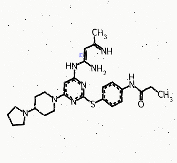 CCC(=O)Nc1ccc(Sc2nc(N/C(N)=C/C(C)=N)cc(N3CCC(N4CCCC4)CC3)n2)cc1